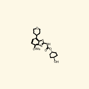 COc1ccc(C2CCOCC2)c2sc(NC(=O)O[C@H]3CC[C@H](O)CC3)nc12